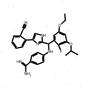 CCOc1cc(OC(C)C)c(F)c(C(Nc2ccc(C(=N)N)cc2)c2nc(-c3ccccc3C#N)c[nH]2)c1